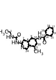 CCNC(=O)Nc1cc2cc(NC(=O)c3ccccc3)cc(C)c2cn1